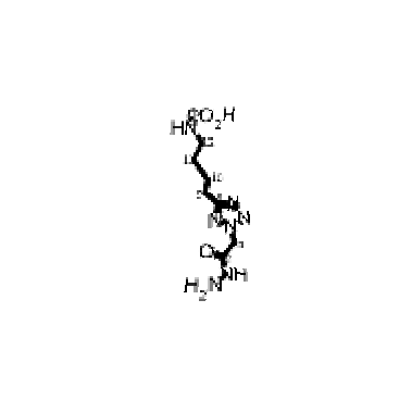 NNC(=O)Cn1nnc(CCCCNC(=O)O)n1